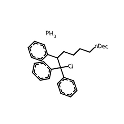 CCCCCCCCCCCCCCC(c1ccccc1)C(Cl)(c1ccccc1)c1ccccc1.P